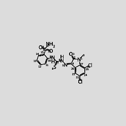 CN1C(=O)C(=NNC(=S)Nc2ccccc2S(N)(=O)=O)c2cc(Cl)cc(Cl)c21